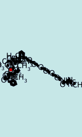 CC[C@H](C)[C@@H]([C@@H](CC(=O)N1CCC[C@H]1[C@H](OC)[C@@H](C)C(=O)N[C@@H](Cc1ccccc1)C(=O)O)OC)N(C)C(=O)[C@@H](NC(=O)[C@]1(C)CCCN1C(=O)CCOCCOCCOCCOCCOCCOCCNC(=O)c1cnc(SC)nc1)C(C)C